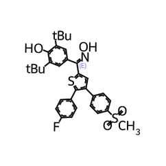 CC(C)(C)c1cc(/C(=N\O)c2cc(-c3ccc(S(C)(=O)=O)cc3)c(-c3ccc(F)cc3)s2)cc(C(C)(C)C)c1O